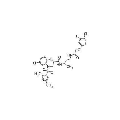 Cc1nn(C)cc1S(=O)(=O)N1CC(C(=O)NC(C)CCNC(=O)COc2ccc(Cl)c(F)c2)Oc2ccc(Cl)cc21